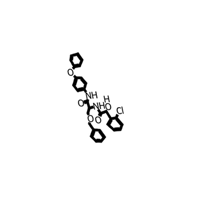 O=C(Nc1ccc(Oc2ccccc2)cc1)C(COCc1ccccc1)NC(=O)[C@H](O)c1ccccc1Cl